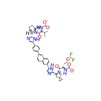 COC(=O)N[C@@H](CCOC(F)F)C(=O)N1CC2(CC2)C[C@H]1c1ncc(-c2ccc3cc(-c4ccc(-c5cnc([C@@H]6[C@H]7CC[C@H](C7)N6C(=O)[C@@H](NC(=O)OC)C(C)C)[nH]5)cc4)ccc3c2)[nH]1